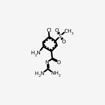 CS(=O)(=O)c1cc(C(=O)N=C(N)N)c(N)cc1Cl